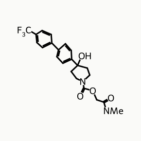 CNC(=O)COC(=O)N1CCC(O)(c2ccc(-c3ccc(C(F)(F)F)cc3)cc2)CC1